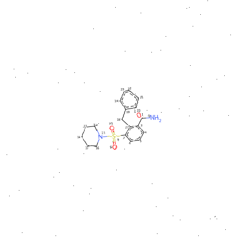 NC(=O)c1cccc(S(=O)(=O)N2CCCCC2)c1Cc1ccccc1